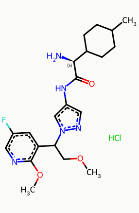 COCC(c1cc(F)cnc1OC)n1cc(NC(=O)[C@@H](N)C2CCC(C)CC2)cn1.Cl